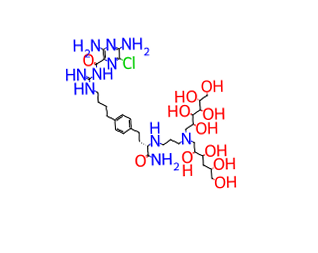 N=C(NCCCCc1ccc(CC[C@H](NCCCN(C[C@H](O)[C@@H](O)[C@H](O)[C@H](O)CO)C[C@H](O)[C@@H](O)C[C@H](O)CO)C(N)=O)cc1)NC(=O)c1nc(Cl)c(N)nc1N